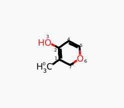 CC1=C(O)C=CO[CH]1